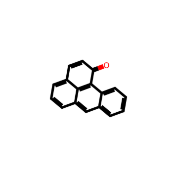 O=C1C=Cc2cccc3cc4ccccc4c1c23